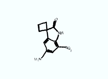 Nc1cc([N+](=O)[O-])c2c(c1)C1(CCC1)C(=O)N2